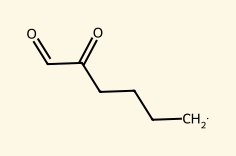 [CH2]CCCC(=O)C=O